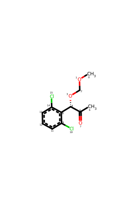 COCO[C@H](C(C)=O)c1c(Cl)cccc1Cl